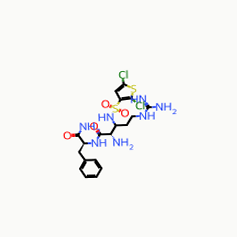 N=C(N)NCCC(NS(=O)(=O)c1cc(Cl)sc1Cl)[C@H](N)C(=O)N[C@@H](Cc1ccccc1)C(N)=O